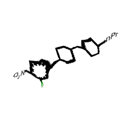 CCCC1CCC(C2CCC(c3ccc([N+](=O)[O-])c(F)c3)CC2)CC1